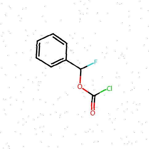 O=C(Cl)OC(F)c1ccccc1